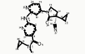 CN(C(=O)c1ccc(Nc2cc(N3CC[C@@](C#N)(C4CC4)C3=O)ccn2)nc1)C1CC1